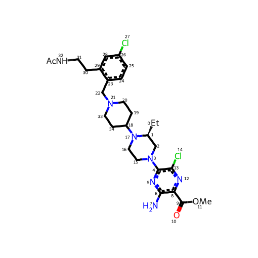 CC[C@H]1CN(c2nc(N)c(C(=O)OC)nc2Cl)CCN1C1CCN(Cc2ccc(Cl)cc2CCNC(C)=O)CC1